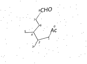 CC(=O)CC(C)C(C)CCC=O